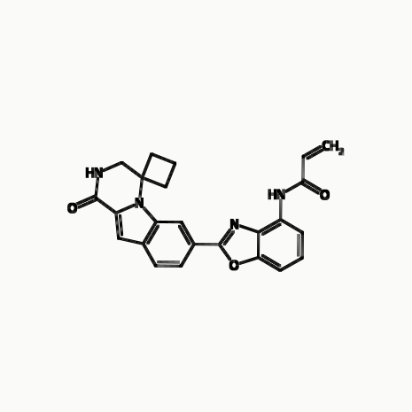 C=CC(=O)Nc1cccc2oc(-c3ccc4cc5n(c4c3)C3(CCC3)CNC5=O)nc12